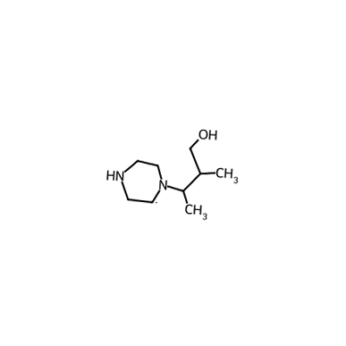 CC(CO)C(C)N1[CH]CNCC1